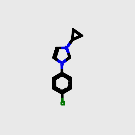 Clc1ccc(N2C=CN(C3CC3)C2)cc1